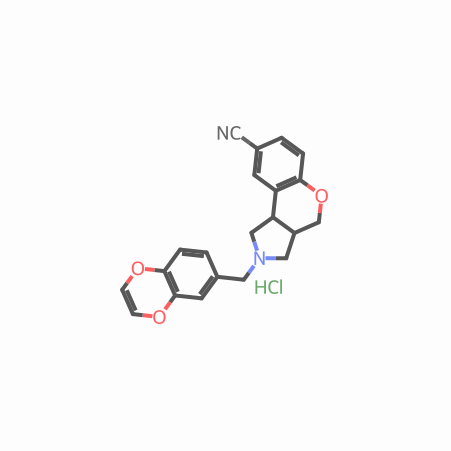 Cl.N#Cc1ccc2c(c1)C1CN(Cc3ccc4c(c3)OC=CO4)CC1CO2